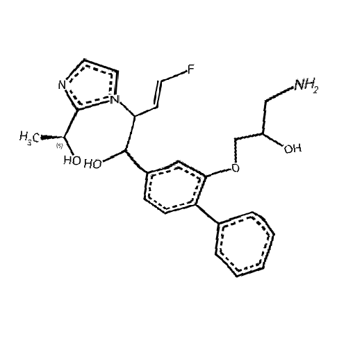 C[C@H](O)c1nccn1C(C=CF)C(O)c1ccc(-c2ccccc2)c(OCC(O)CN)c1